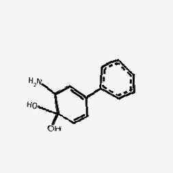 NC1C=C(c2ccccc2)C=CC1(O)O